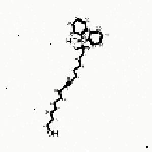 CC(C)(CCCCCC#CCCCCCCCO)[Si](O)(c1ccccc1)c1ccccc1